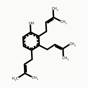 CC(C)=CCc1ccc(O)c(CC=C(C)C)c1CC=C(C)C